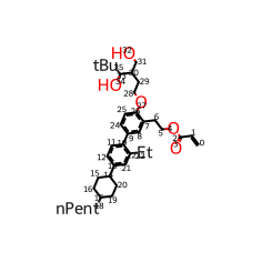 C=CC(=O)OCCc1cc(-c2ccc(C3CCC(CCCCC)CC3)cc2CC)ccc1OCCC(CO)C(O)C(C)(C)C